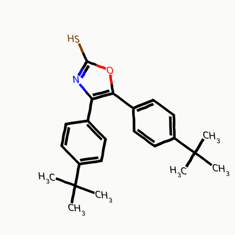 CC(C)(C)c1ccc(-c2nc(S)oc2-c2ccc(C(C)(C)C)cc2)cc1